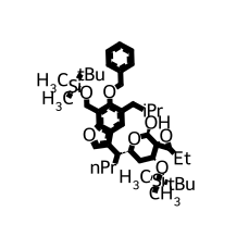 CCCC(c1coc2c(CO[Si](C)(C)C(C)(C)C)c(OCc3ccccc3)c(CC(C)C)cc12)[C@H]1C[C@@H](O[Si](C)(C)C(C)(C)C)[C@@]2(OC2CC)[C@H](O)O1